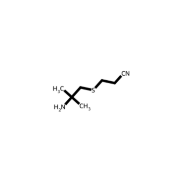 CC(C)(N)CSCCC#N